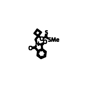 CSC(=S)OC1(CN2C(=O)c3ccccc3C2=O)CCC1